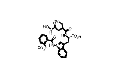 CC(C)CC(CC(=O)NO)C(=O)N[C@@H](Cc1cn(NC(=O)c2ccccc2C(=O)O)c2ccccc12)C(=O)O